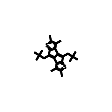 Cc1sc2c(c1C)C1=C(CC(C)(C)C)c3sc(C)c(C)c3C1=C2CC(C)(C)C